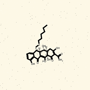 CCCCCCSC[C@H]1c2cccc(O)c2C(=O)C2=C(O)[C@]3(O)C(=O)C(C(N)=O)=C(O)C[C@@H]3[C@@H](O)[C@@H]21